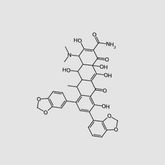 CC1c2c(-c3ccc4c(c3)OCO4)cc(-c3cccc4c3OCO4)c(O)c2C(=O)C2=C(O)C3(O)C(=O)C(C(N)=O)=C(O)C(N(C)C)C3C(O)C21